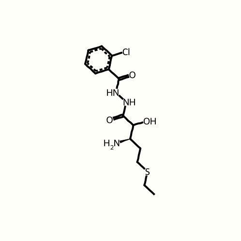 CCSCC[C@@H](N)C(O)C(=O)NNC(=O)c1ccccc1Cl